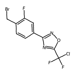 Fc1cc(-c2noc(C(F)(F)Cl)n2)ccc1CBr